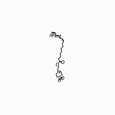 CCCCC/C=C\CCC/C=C\CCCCCCCC(=O)OCCN1CCS(=O)(=O)CC1